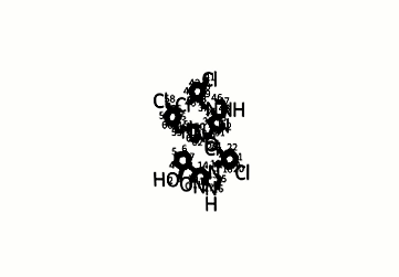 O=C(O)c1ccccc1-c1cnc2c(c1)N(Cc1cc(Cl)ccc1Cl)CCN2.O=C(c1cnc2c(c1)N(Cc1cc(Cl)ccc1Cl)CCN2)N1CCN(Cc2ccc(Cl)cc2)CC1